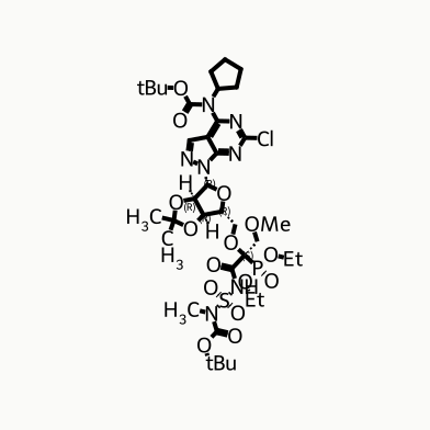 CCOP(=O)(OCC)[C@](COC)(OC[C@H]1O[C@@H](n2ncc3c(N(C(=O)OC(C)(C)C)C4CCCC4)nc(Cl)nc32)[C@@H]2OC(C)(C)O[C@@H]21)C(=O)NS(=O)(=O)N(C)C(=O)OC(C)(C)C